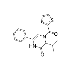 CC(C)C1C(=O)NC(c2ccccc2)=CN1C(=O)c1cccs1